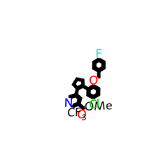 COC(=O)c1cc(C2=C(c3cc(Cl)ccc3OCc3ccc(F)cc3)CCC2)cnc1C(F)(F)F